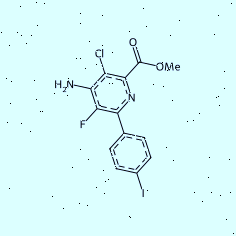 COC(=O)c1nc(-c2ccc(I)cc2)c(F)c(N)c1Cl